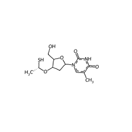 Cc1cn(C2CC(O[C@H](C)S)C(CO)O2)c(=O)[nH]c1=O